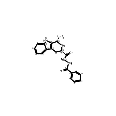 C[C@@H]1N[C@H](C(=O)NNC(=O)c2ccccc2)Cc2c1[nH]c1ccccc21